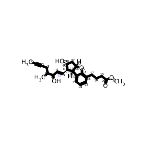 CC#CCC(C)C(O)/C=C/[C@@H]1[C@H]2c3cccc(CCCC(=O)OC)c3O[C@H]2C[C@H]1O